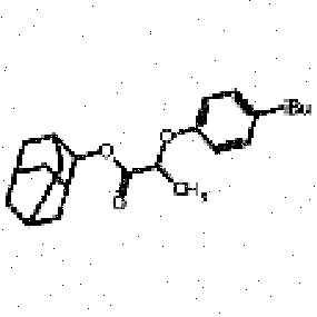 CCC(C)c1ccc(OC(C)C(=O)OC2C3CC4CC(C3)CC2C4)cc1